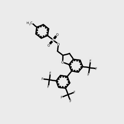 Cc1ccc(S(=O)(=O)OCC2Cc3cc(C(F)(F)F)cc(-c4cc(C(F)(F)F)cc(C(F)(F)F)c4)c3O2)cc1